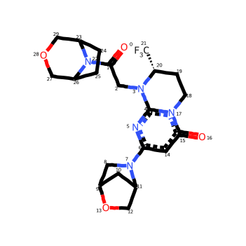 O=C(CN1c2nc(N3CC4CC3CO4)cc(=O)n2CC[C@H]1C(F)(F)F)N1C2CCC1COC2